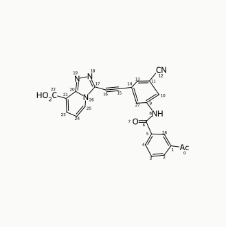 CC(=O)c1cccc(C(=O)Nc2cc(C#N)cc(C#Cc3nnc4c(C(=O)O)cccn34)c2)c1